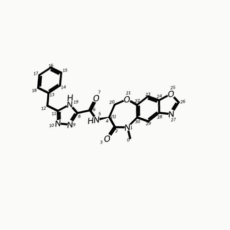 CN1C(=O)[C@@H](NC(=O)c2nnc(Cc3ccccc3)[nH]2)COc2cc3ocnc3cc21